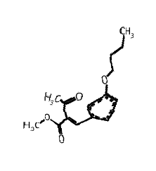 CCCCOc1cccc(/C=C(\C(C)=O)C(=O)OC)c1